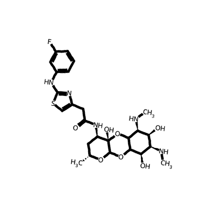 CN[C@@H]1[C@H](O)[C@H](NC)C2O[C@]3(O)C(OC2[C@@H]1O)O[C@H](C)C[C@H]3NC(=O)Cc1csc(Nc2cccc(F)c2)n1